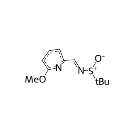 COc1cccc(C=N[S+]([O-])C(C)(C)C)n1